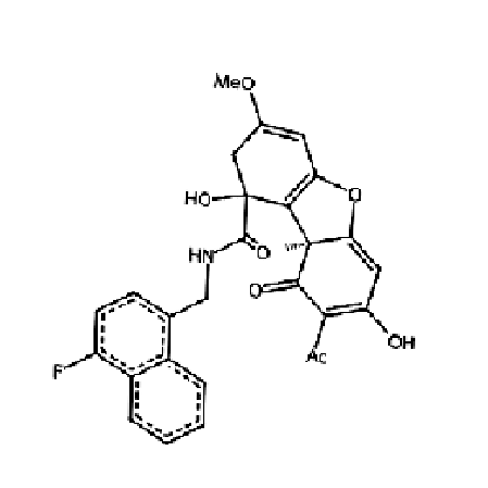 COC1=CC2=C(C(O)(C(=O)NCc3ccc(F)c4ccccc34)C1)[C@]1(C)C(=O)C(C(C)=O)=C(O)C=C1O2